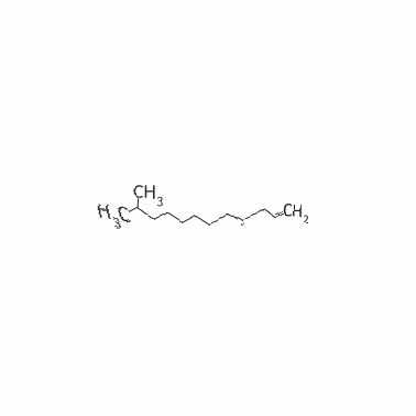 C=CC[CH]CCCCCCC(C)C